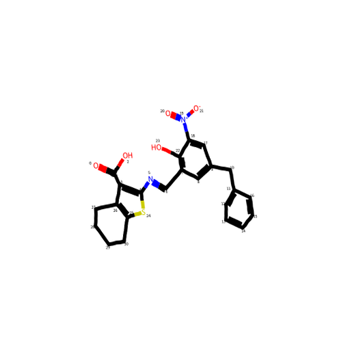 O=C(O)c1c(N=Cc2cc(Cc3ccccc3)cc([N+](=O)[O-])c2O)sc2c1CCCC2